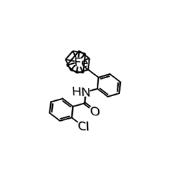 O=C(Nc1ccccc1[C]12[CH]3[CH]4[CH]5[CH]1[Fe]45321678[CH]2[CH]1[CH]6[CH]7[CH]28)c1ccccc1Cl